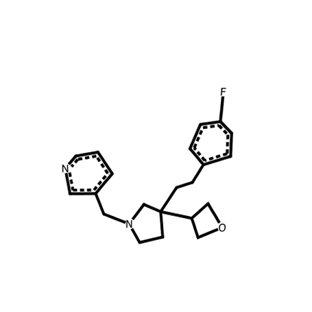 Fc1ccc(CCC2(C3COC3)CCN(Cc3cccnc3)C2)cc1